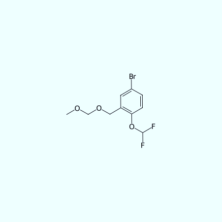 COCOCc1cc(Br)ccc1OC(F)F